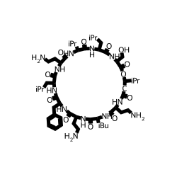 CCC(C)C1NC(=O)C(CCN)NC(=O)CC(C(C)C)OC(=O)C(CO)NC(=O)C(CC(C)C)NC(=O)C(C(C)C)NC(=O)C(CCN)NC(=O)C(CC(C)C)NC(=O)C(Cc2ccccc2)NC(=O)C(CCN)NC1=O